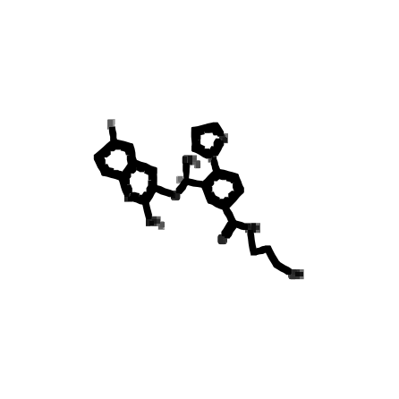 C[C@H](Oc1cc2cc(F)ccc2nc1N)c1cc(C(=O)NCCCO)ccc1-n1cccn1